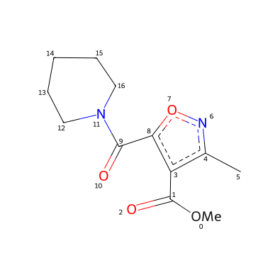 COC(=O)c1c(C)noc1C(=O)N1CCCCC1